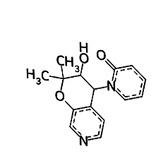 CC1(C)Oc2cnccc2C(n2ccccc2=O)C1O